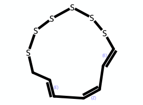 C1=C\C=C\SSSSSSC/C=C/1